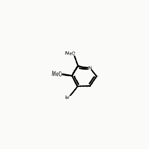 COc1n[c]cc(Br)c1OC